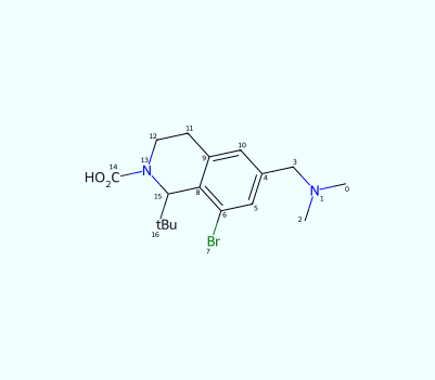 CN(C)Cc1cc(Br)c2c(c1)CCN(C(=O)O)C2C(C)(C)C